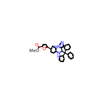 COC(=O)c1ccc(-c2ccc(NC(c3cnc[nH]3)C(c3ccccc3)(c3ccccc3)c3ccccc3)cc2)o1